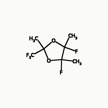 CC1(F)OC(C)(C(F)(F)F)OC1(C)F